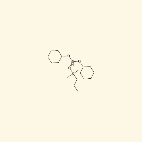 CCC[Si](C)(C)O[SiH](OC1CCCCC1)OC1CCCCC1